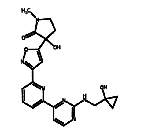 CN1CCC(O)(c2cc(-c3cccc(-c4ccnc(NCC5(O)CC5)n4)n3)no2)C1=O